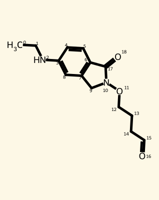 CCNc1ccc2c(c1)CN(OCCCC=O)C2=O